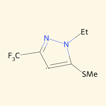 CCn1nc(C(F)(F)F)[c]c1SC